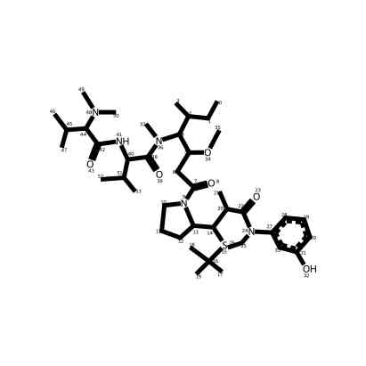 CCC(C)C(C(CC(=O)N1CCCC1C(SC(C)(C)C)C(C)C(=O)N(CC)c1cccc(O)c1)OC)N(C)C(=O)C(NC(=O)C(C(C)C)N(C)C)C(C)C